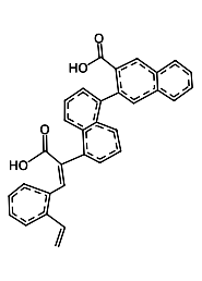 C=Cc1ccccc1/C=C(\C(=O)O)c1cccc2c(-c3cc4ccccc4cc3C(=O)O)cccc12